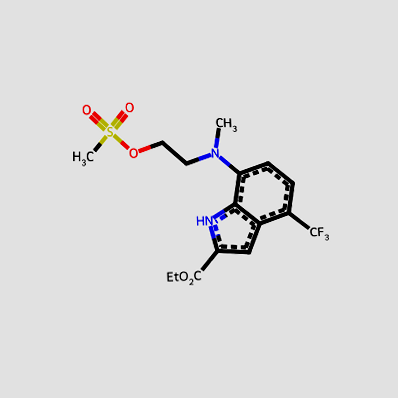 CCOC(=O)c1cc2c(C(F)(F)F)ccc(N(C)CCOS(C)(=O)=O)c2[nH]1